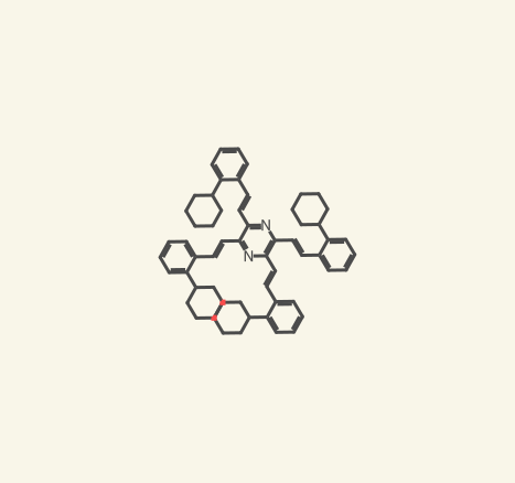 C(=Cc1nc(C=Cc2ccccc2C2CCCCC2)c(C=Cc2ccccc2C2CCCCC2)nc1C=Cc1ccccc1C1CCCCC1)c1ccccc1C1CCCCC1